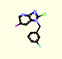 Fc1cccc(Cn2c(Cl)nc3ncc(I)cc32)c1